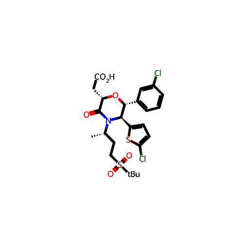 C[C@@H](CCS(=O)(=O)C(C)(C)C)N1C(=O)[C@H](CC(=O)O)O[C@H](c2cccc(Cl)c2)[C@H]1c1ccc(Cl)s1